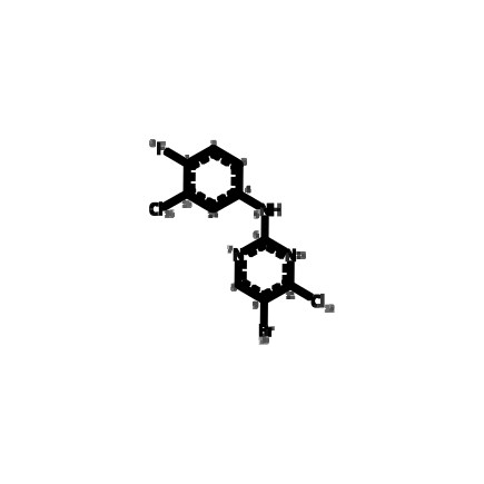 Fc1ccc(Nc2ncc(Br)c(Cl)n2)cc1Cl